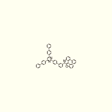 c1ccc(-c2ccc(-c3cc(-c4ccc(-c5ccccc5)cc4)nc(-c4ccc(-c5cccc(-c6nc7cccc(-c8ccccc8)c7c7c6oc6ccccc67)c5)cc4)n3)cc2)cc1